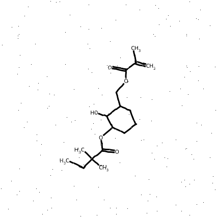 C=C(C)C(=O)OCC1CCCC(OC(=O)C(C)(C)CC)C1O